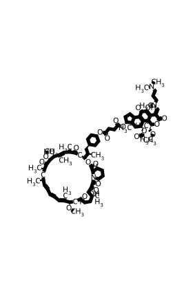 COC[C@H]1OC(=O)/C(=C/N(C)CCCN(C)C)C2=C(O)C(=O)C3=C([C@H](OC(C)=O)C[C@@]4(C)C3CC[C@@H]4OC(=O)CCC(=O)O[C@H]3CC[C@H](C[C@@H](C)[C@@H]4CC(=O)C(C)/C=C(\C)[C@@H](O)[C@@H](OC)C(=O)[C@H](C)C[C@H](C)/C=C/C=C/C=C(\C)[C@@H](OC)C[C@@H]5CC[C@@H](C)[C@@](O)(O5)C(=O)C(=O)N5CCCC[C@H]5C(=O)O4)CC3)[C@]21C